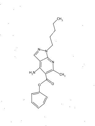 CCCCCn1ncc2c(N)c(C(=O)Oc3ccccc3)c(C)nc21